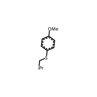 COc1ccc(SCC(C)C)cc1